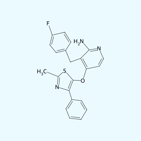 Cc1nc(-c2ccccc2)c(Oc2ccnc(N)c2Cc2ccc(F)cc2)s1